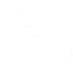 O=C(NC(=O)c1ccccc1)Nc1ccc(Oc2ccccn2)cc1